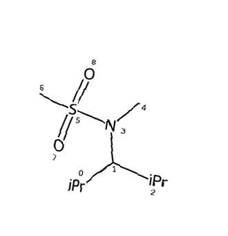 CC(C)C(C(C)C)N(C)S(C)(=O)=O